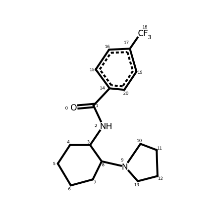 O=C(NC1CCCCC1N1CCCC1)c1ccc(C(F)(F)F)cc1